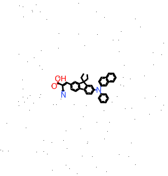 CCC1(CC)c2cc(/C=C(\C#N)C(=O)O)ccc2-c2ccc(N(c3ccccc3)c3ccc4ccccc4c3)cc21